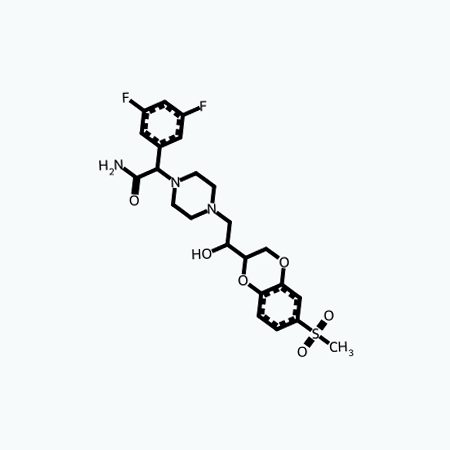 CS(=O)(=O)c1ccc2c(c1)OCC(C(O)CN1CCN(C(C(N)=O)c3cc(F)cc(F)c3)CC1)O2